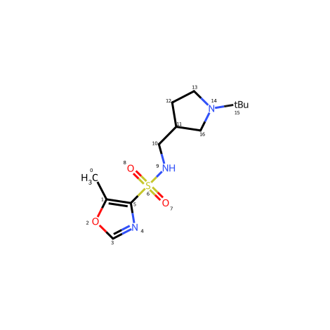 Cc1ocnc1S(=O)(=O)NCC1CCN(C(C)(C)C)C1